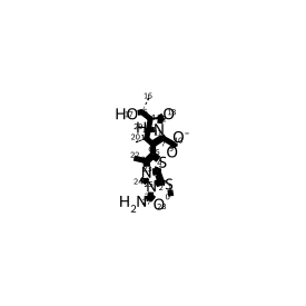 CSc1c2sc(C3=C(C(=O)[O-])N4C(=O)[C@H]([C@@H](C)O)[C@H]4[C@H]3C)c(C)[n+]2cn1C(N)=O